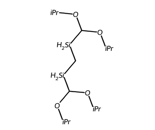 CC(C)OC(OC(C)C)[SiH2]C[SiH2]C(OC(C)C)OC(C)C